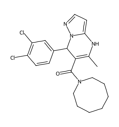 CC1=C(C(=O)N2CCCCCCC2)C(c2ccc(Cl)c(Cl)c2)n2nccc2N1